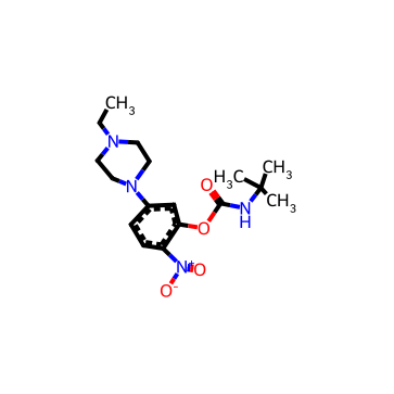 CCN1CCN(c2ccc([N+](=O)[O-])c(OC(=O)NC(C)(C)C)c2)CC1